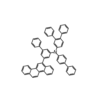 c1ccc(-c2ccc(N(c3cc(-c4ccccc4)cc(-c4cc5c6ccccc6ccc5c5ccccc45)c3)c3ccc(-c4ccccc4)c(-c4ccccc4)c3)cc2)cc1